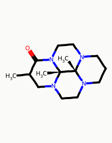 CC1CN2CCN3CCCN4CCN(C1=O)[C@]2(C)[C@@]34C